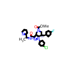 COC(=O)N1C/C(=C\c2ccc(F)cc2)c2c(c(C(=O)NC(C)c3ccccn3)nn2-c2ccc(Cl)cc2)C1